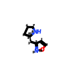 c1cc(C[C@@H]2CCCN2)no1